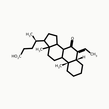 C/C=C1/C(=O)C2C3CCC([C@H](C)CCC(=O)O)C3(C)CCC2[C@@]2(C)CCCC[C@@H]12